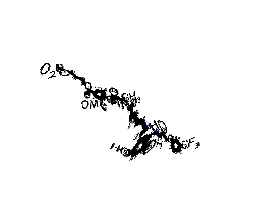 COc1cc(C(=O)OCCCCO[N+](=O)[O-])ccc1OC(=O)C(C)NC(=O)CCC/C=C\C[C@@H]1[C@@H](/C=C/[C@@H](O)COc2cccc(C(F)(F)F)c2)[C@H](O)C[C@@H]1O